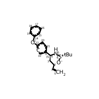 C=CCC[C@H](N[S@@+]([O-])C(C)(C)C)c1ccc(Oc2ccccc2)cc1